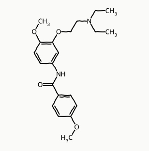 CCN(CC)CCOc1cc(NC(=O)c2ccc(OC)cc2)ccc1OC